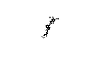 C\C=C/C(F)=C\C=C\C(=O)n1ccc2c(/C=N/NC(=O)c3ccc(O)c(N)c3)cccc21